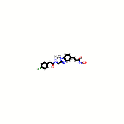 Cn1c(CNC(=O)Cc2ccc(F)cc2)nc2cc(C=CC(=O)NO)ccc21